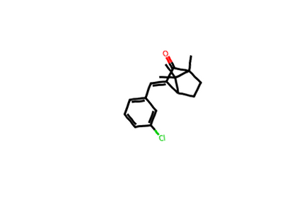 CC12CCC(C(=Cc3cccc(Cl)c3)C1=O)C2(C)C